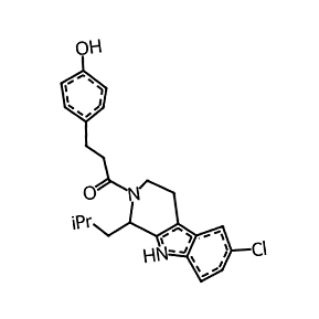 CC(C)CC1c2[nH]c3ccc(Cl)cc3c2CCN1C(=O)CCc1ccc(O)cc1